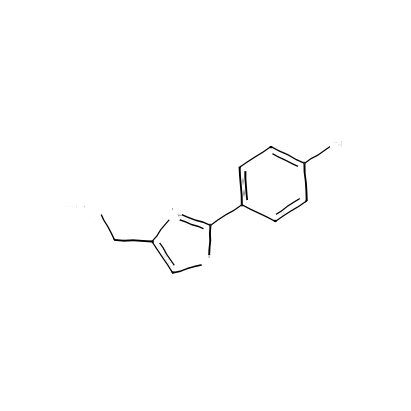 O=C(O)Cc1coc(-c2ccc(Br)cc2)n1